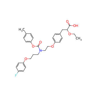 CCOC(Cc1ccc(OCCN(CCCOc2ccc(F)cc2)C(=O)Oc2ccc(C)cc2)cc1)C(=O)O